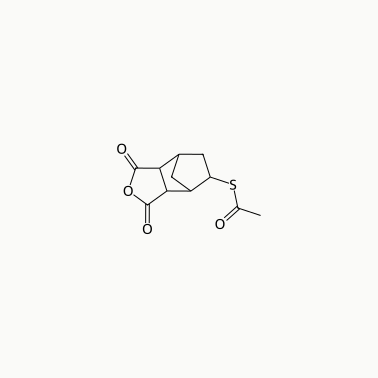 CC(=O)SC1CC2CC1C1C(=O)OC(=O)C21